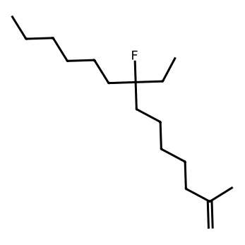 C=C(C)CCCCCC(F)(CC)CCCCCC